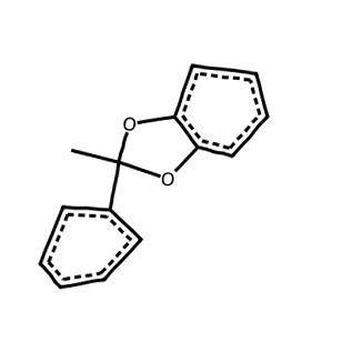 CC1(c2ccccc2)Oc2ccccc2O1